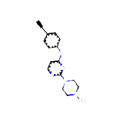 C#Cc1ccc(Nc2ccnc(N3CCN(C(C)(C)C)CC3)n2)cc1